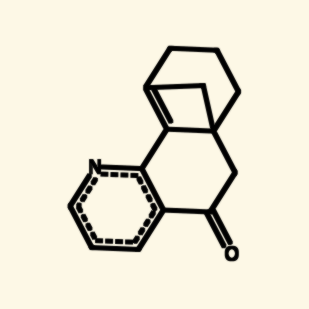 O=C1CC23CCCC(=C2c2ncccc21)C3